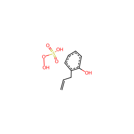 C=CCc1ccccc1O.O=S(=O)(O)OO